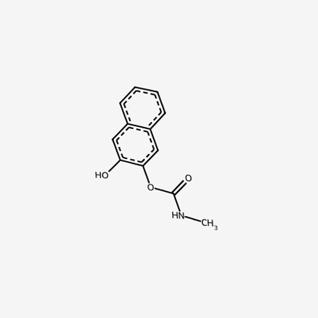 CNC(=O)Oc1cc2ccccc2cc1O